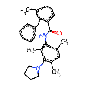 Cc1cc(C)c(N2CCCC2)c(C)c1NC(=O)c1cccc(C)c1-c1ccccc1